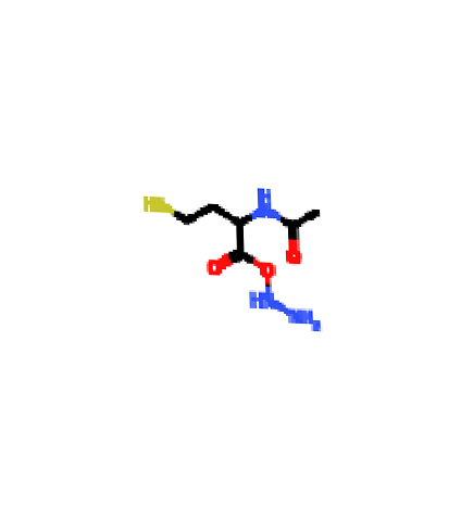 CC(=O)NC(CCS)C(=O)ONN